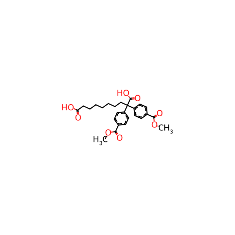 COC(=O)c1ccc(C(CCCCCCCC(=O)O)(C(=O)O)c2ccc(C(=O)OC)cc2)cc1